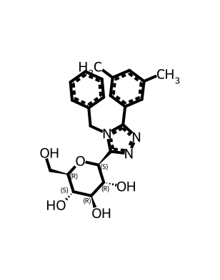 Cc1cc(C)cc(-c2nnc([C@@H]3O[C@H](CO)[C@@H](O)[C@H](O)[C@H]3O)n2Cc2ccccc2)c1